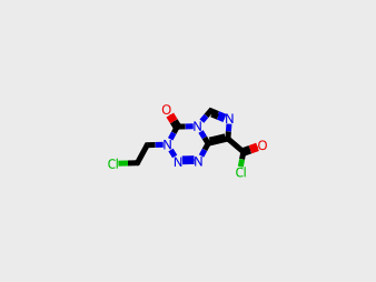 O=C(Cl)c1ncn2c(=O)n(CCCl)nnc12